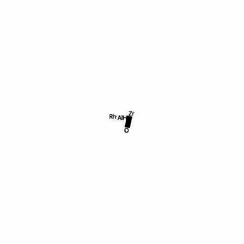 [AlH3].[O]=[Zr].[Rh]